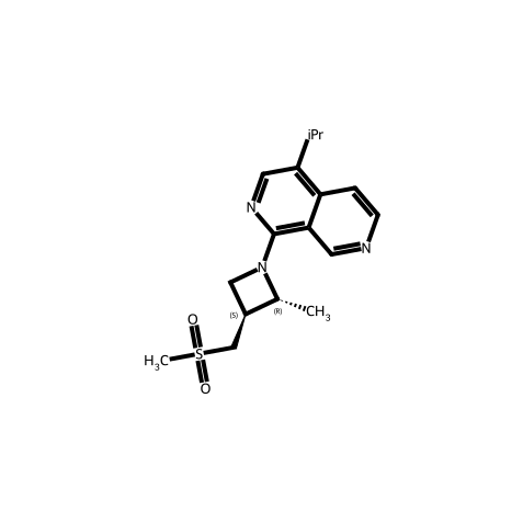 CC(C)c1cnc(N2C[C@H](CS(C)(=O)=O)[C@H]2C)c2cnccc12